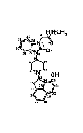 CNC(=O)Cn1c(=O)n(C2CCN(C3Cc4cccc5ccc(O)c3c45)CC2)c2ccccc21